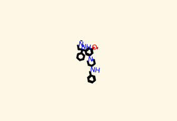 COc1cc(N2CCC(NCc3ccccc3)CC2)cc(C2(C3CCCCC3)CCN(C)N2)c1